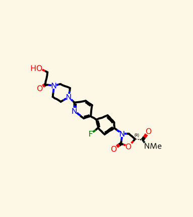 CNC(=O)[C@H]1CN(c2ccc(-c3ccc(N4CCN(C(=O)CO)CC4)nc3)c(F)c2)C(=O)O1